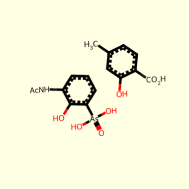 CC(=O)Nc1cccc([As](=O)(O)O)c1O.Cc1ccc(C(=O)O)c(O)c1